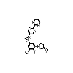 CO[C@@H]1CCN(c2cc([C@@H]3C[C@H]3c3cnc(-c4ncccn4)nc3)cc(Cl)c2F)C1